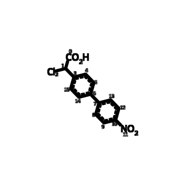 O=C(O)C(Cl)c1ccc(-c2ccc([N+](=O)[O-])cc2)cc1